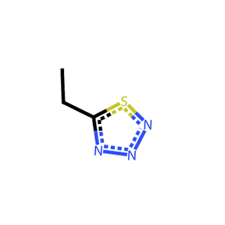 CCc1nnns1